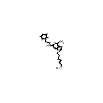 CC/C=C/CCCn1cnc2c(N)nc(NCCc3ccccc3)nc21